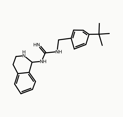 CC(C)(C)c1ccc(CNC(=N)NC2NCCc3ccccc32)cc1